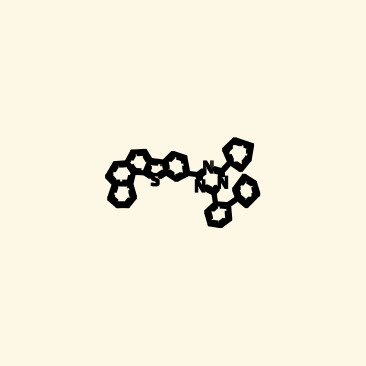 c1ccc(-c2nc(-c3ccc4c(c3)sc3c4ccc4ccc5ccccc5c43)nc(-c3ccccc3-c3ccccc3)n2)cc1